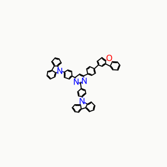 c1ccc2c(c1)oc1ccc(-c3ccc(-c4cc(-c5ccc(-n6c7ccccc7c7ccccc76)cc5)nc(-c5ccc(-n6c7ccccc7c7ccccc76)cc5)n4)cc3)cc12